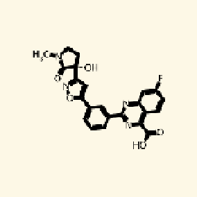 CN1CC[C@@](O)(c2cc(-c3cccc(-c4nc(C(=O)O)c5ccc(F)cc5n4)c3)on2)C1=O